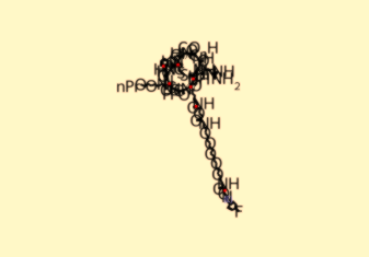 CCCOCCOCCNC(=O)[C@@H]1CSCC(=O)N[C@@H](CCCCNC(=O)COCC(=O)NCCOCCOCCOCCOCCOCCNC(=O)CO/N=C/c2ccc(F)cc2)C(=O)N[C@H]2CSSC[C@H](NC(=O)[C@H](CC(=O)O)NC(=O)CNC(=O)[C@H](CCCNC(=N)N)NC2=O)C(=O)N[C@@H](Cc2ccccc2)C(=O)N1